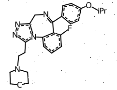 CC(C)Oc1ccc(C2=NCc3nnc(CCN4CCCCC4)n3-c3cccc(F)c32)cc1